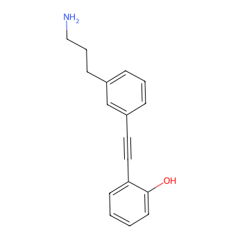 NCCCc1cccc(C#Cc2ccccc2O)c1